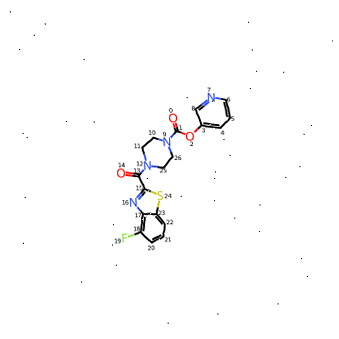 O=C(Oc1cccnc1)N1CCN(C(=O)c2nc3c(F)cccc3s2)CC1